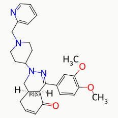 COc1ccc(C2=NN(C3CCN(Cc4ccccn4)CC3)C[C@@H]3CC=CC(=O)[C@H]23)cc1OC